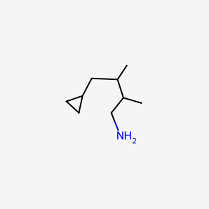 CC(CN)C(C)CC1CC1